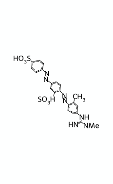 CNC(=N)Nc1ccc(N=Nc2ccc(N=Nc3ccc(S(=O)(=O)O)cc3)cc2S(=O)(=O)O)c(C)c1